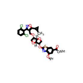 COC(=O)c1cc(OC(C)C)c2nc(O[C@H]3CO[C@H]4[C@@H]3OC[C@@H]4OCc3c(-c4c(Cl)cccc4Cl)noc3C3CC3C)sc2c1